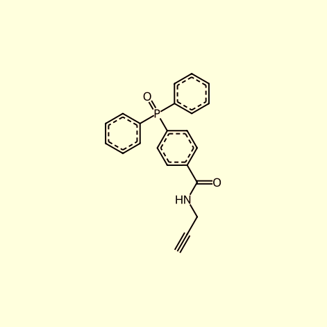 C#CCNC(=O)c1ccc(P(=O)(c2ccccc2)c2ccccc2)cc1